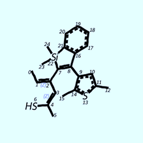 C/C=C(/C=C(/C)S)C1=C(c2cc(C)sc2C)c2ccccc2[Si]1(C)C